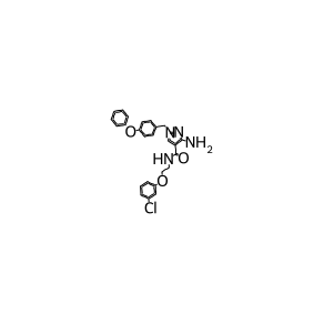 Nc1nn(Cc2ccc(Oc3ccccc3)cc2)cc1C(=O)NCCOc1cccc(Cl)c1